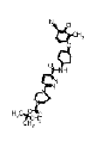 Cc1c(OC2CCC(NC(=O)c3ccc(N4CCN(C(=O)OC(C)(C)C)CC4)nn3)CC2)ccc(C#N)c1Cl